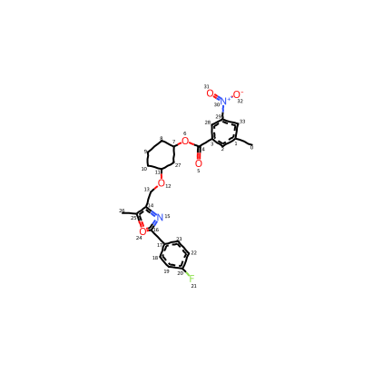 Cc1cc(C(=O)OC2CCCC(OCc3nc(-c4ccc(F)cc4)oc3C)C2)cc([N+](=O)[O-])c1